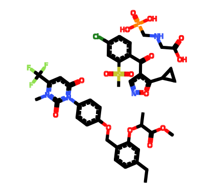 CCc1ccc(COc2ccc(-n3c(=O)cc(C(F)(F)F)n(C)c3=O)cc2)c(OC(C)C(=O)OC)c1.CS(=O)(=O)c1cc(Cl)ccc1C(=O)c1cnoc1C1CC1.O=C(O)CNCP(=O)(O)O